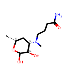 C[C@@H]1C[C@H](N(C)CCCC(N)=O)[C@@H](O)C(O)O1